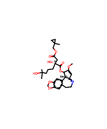 COC1=CC23CCCN2CCc2cc4c(cc2[C@@H]3C1OC(=O)[C@@](O)(CCCC(C)(C)O)CC(=O)OCC1(C)CC1)OCO4